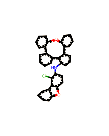 Clc1c(Nc2cccc3c4ccccc4oc4ccccc4c4ccccc4c23)ccc2oc3ccccc3c12